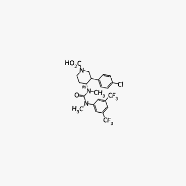 CN(C(=O)N(C)[C@@H]1CCN(C(=O)O)CC1c1ccc(Cl)cc1)c1cc(C(F)(F)F)cc(C(F)(F)F)c1